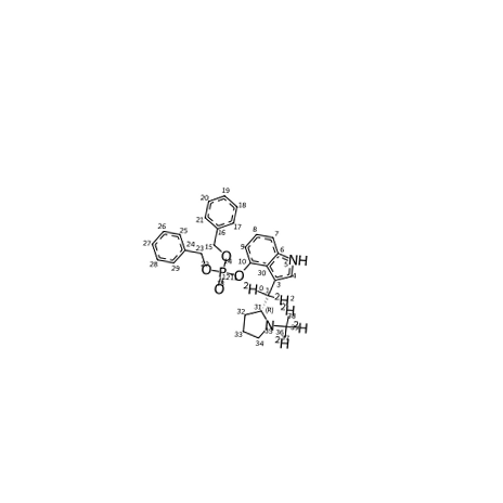 [2H]C([2H])(c1c[nH]c2cccc(OP(=O)(OCc3ccccc3)OCc3ccccc3)c12)[C@H]1CCCN1C([2H])([2H])[2H]